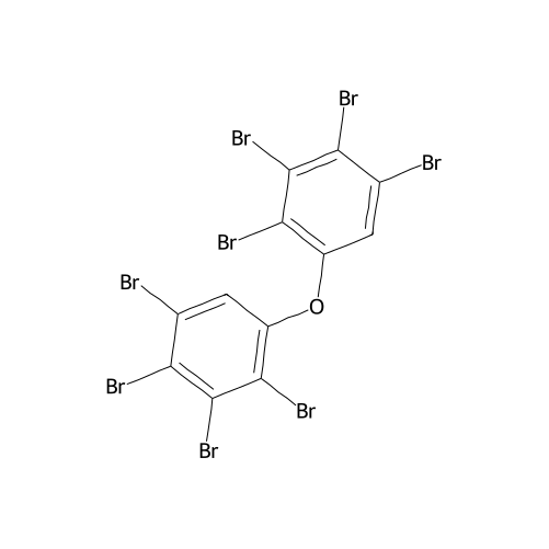 Brc1cc(Oc2cc(Br)c(Br)c(Br)c2Br)c(Br)c(Br)c1Br